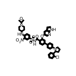 O=C(NS(=O)(=O)c1ccc(NC2CCN(C3COC3)CC2)c([N+](=O)[O-])c1)c1ccc(-c2ccc(N3CCCC3c3ccccc3Cl)cc2)cc1Oc1cnc2[nH]ccc2c1